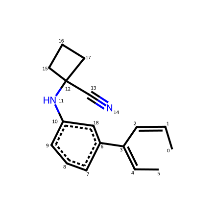 C/C=C\C(=C/C)c1cccc(NC2(C#N)CCC2)c1